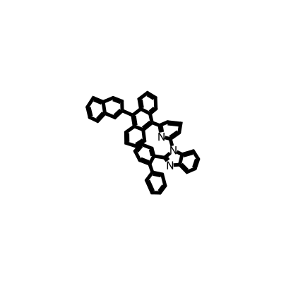 c1ccc(-c2ccccc2-c2nc3ccccc3n2-c2cccc(-c3c4ccccc4c(-c4ccc5ccccc5c4)c4ccccc34)n2)cc1